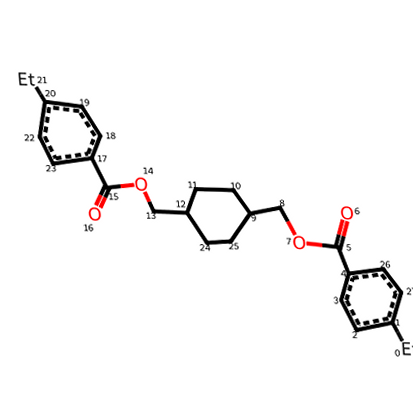 CCc1ccc(C(=O)OCC2CCC(COC(=O)c3ccc(CC)cc3)CC2)cc1